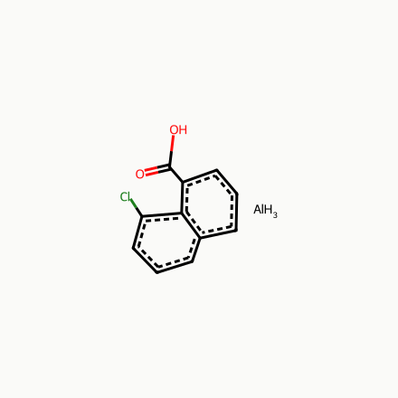 O=C(O)c1cccc2cccc(Cl)c12.[AlH3]